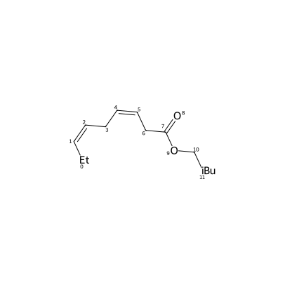 CC/C=C\C/C=C\CC(=O)OCC(C)CC